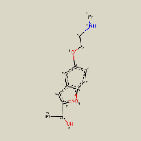 CC(C)NCCOc1ccc2oc(C(O)C(C)C)cc2c1